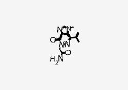 C=C(C)c1nn(CC(N)=O)c(=O)c2ncn(C)c12